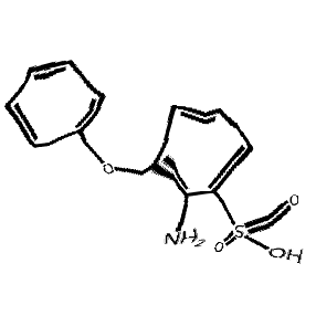 Nc1c(Oc2ccccc2)cccc1S(=O)(=O)O